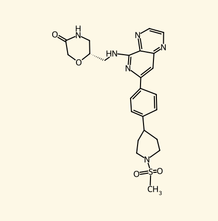 CS(=O)(=O)N1CCC(c2ccc(-c3cc4nccnc4c(NC[C@H]4CNC(=O)CO4)n3)cc2)CC1